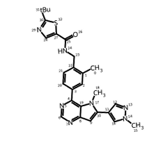 Cc1cc(-c2ncnc3cc(-c4cnn(C)c4)n(C)c23)ccc1CNC(=O)c1cnc(C(C)(C)C)s1